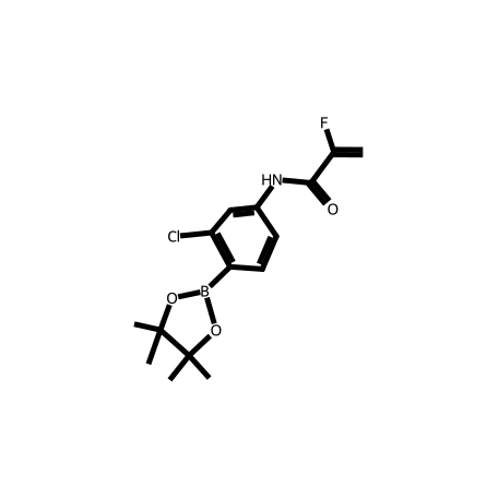 C=C(F)C(=O)Nc1ccc(B2OC(C)(C)C(C)(C)O2)c(Cl)c1